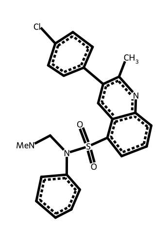 CNCN(c1ccccc1)S(=O)(=O)c1cccc2nc(C)c(-c3ccc(Cl)cc3)cc12